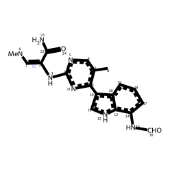 CN/C=C(/Nc1ncc(C)c(-c2c[nH]c3c(NC=O)cccc23)n1)C(N)=O